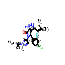 CC(C)Cc1n[nH]c2c1C(c1ccc(Cl)cc1F)N(c1cnn(C(C)C)c1)C2=O